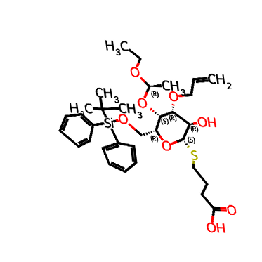 C=CCO[C@@H]1[C@@H](O)[C@H](SCCCC(=O)O)O[C@H](CO[Si](c2ccccc2)(c2ccccc2)C(C)(C)C)[C@@H]1O[C@H](C)OCC